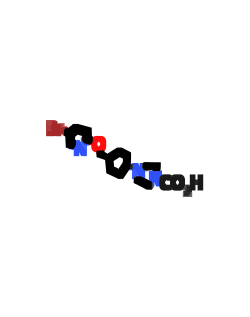 O=C(O)N1CCN([C@H]2CC[C@H](COc3ccc(Br)cn3)CC2)CC1